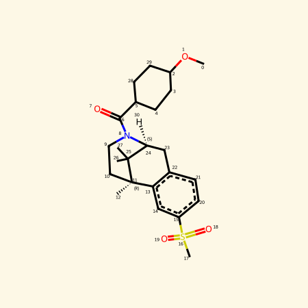 COC1CCC(C(=O)N2CC[C@]3(C)c4cc(S(C)(=O)=O)ccc4C[C@H]2C3(C)C)CC1